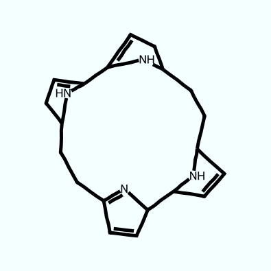 C1=CC2N=C1CCC1CC=C(N1)C1=CCC(CCC3C=CC2N3)N1